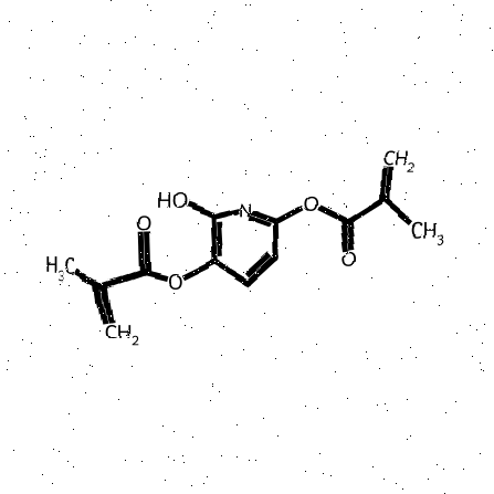 C=C(C)C(=O)Oc1ccc(OC(=O)C(=C)C)c(O)n1